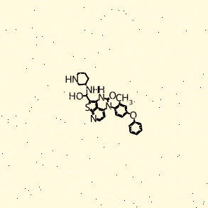 Cc1cc(Oc2ccccc2)ccc1N1C(=O)Nc2c(C(O)N[C@H]3CCCNC3)sc3nccc1c23